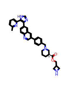 Cc1cccc(-c2[nH]cnc2-c2ccc3ncc(-c4ccc(CN5CCC[C@H](C(=O)OCC6CNC6)C5)cc4)cc3c2)n1